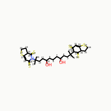 CC(C)(CCC(O)CCCC(O)CCC(C)(C)N1C(=S)C=C2SCCC2C1=S)C1C(=S)C=C2SCCC2C1=S